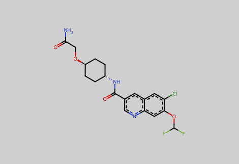 NC(=O)CO[C@H]1CC[C@H](NC(=O)c2cnc3cc(OC(F)F)c(Cl)cc3c2)CC1